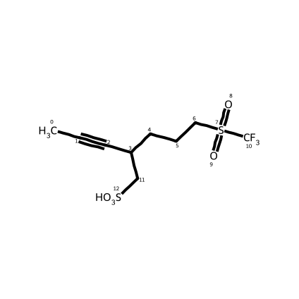 CC#CC(CCCS(=O)(=O)C(F)(F)F)CS(=O)(=O)O